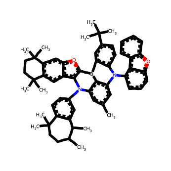 Cc1cc2c3c(c1)N(c1cccc4oc5ccccc5c14)c1ccc(C(C)(C)C)cc1B3c1oc3cc4c(cc3c1N2c1ccc2c(c1)C(C)C(C)CCC2(C)C)C(C)(C)CCC4(C)C